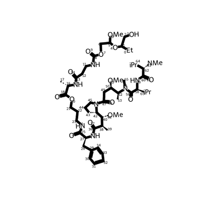 CCC(CO)OC(COC(=O)NCCC(=O)N[C@@H](C)C(=O)OCCCNC(=O)[C@H](Cc1ccccc1)NC(=O)[C@H](C)[C@@H](OC)[C@@H]1CCCN1C(=O)C[C@@H](OC)[C@H](C)N(C)C(=O)[C@@H](NC(=O)[C@@H](NC)C(C)C)C(C)C)OC